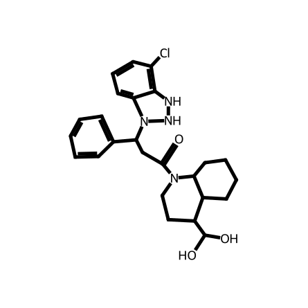 O=C(CC(c1ccccc1)N1NNc2c(Cl)cccc21)N1CCC(C(O)O)C2CCCCC21